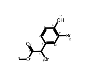 COC(=O)C(Br)c1ccc(O)c(Br)c1